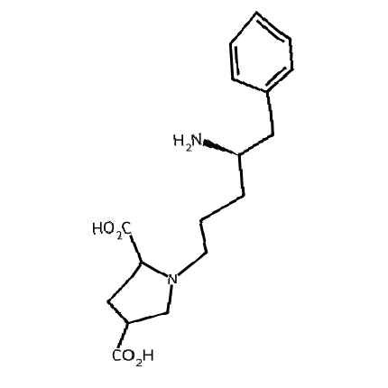 N[C@H](CCCN1CC(C(=O)O)CC1C(=O)O)Cc1ccccc1